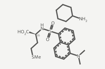 CSCC[C@H](NS(=O)(=O)c1cccc2c(N(C)C)cccc12)C(=O)O.NC1CCCCC1